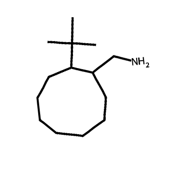 CC(C)(C)C1CCCCCCCC1CN